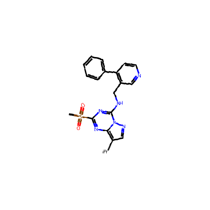 CC(C)c1cnn2c(NCc3cnccc3-c3ccccc3)nc(S(C)(=O)=O)nc12